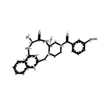 CC(=O)Nc1cccc(C(=O)N2CCN3Cc4nc(c5ccccc5n4)N[C@@H](C(C)C)C(=O)N[C@H]3C2)c1